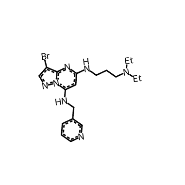 CCN(CC)CCCNc1cc(NCc2cccnc2)n2ncc(Br)c2n1